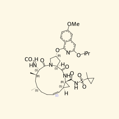 COc1ccc2c(O[C@@H]3C[C@H]4C(=O)N[C@]5(C(=O)NS(=O)(=O)C6(C)CC6)C[C@H]5/C=C\CC[C@H](C)C[C@@H](C)[C@H](NC(=O)O)C(=O)N4C3)nc(OC(C)C)cc2c1